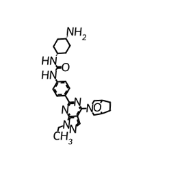 CCn1ncc2c(N3CC4CCC(C3)O4)nc(-c3ccc(NC(=O)N[C@H]4CC[C@@H](N)CC4)cc3)nc21